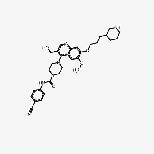 COc1cc2c(N3CCN(C(=O)Nc4ccc(C#N)cc4)CC3)c(CO)cnc2cc1OCCCC1CCCNC1